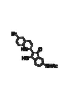 CC(=O)Nc1ccc2c(c1)C(=O)C(C1C=Cc3cc(C(C)C)ccc3N1)=C2O